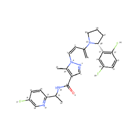 C=C(/C=C\n1ncc(C(=O)NC(C)c2ccc(F)cn2)c1C)N1CCC[C@@H]1c1cc(F)ccc1F